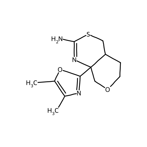 Cc1nc(C23COCCC2CSC(N)=N3)oc1C